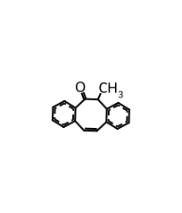 CC1C(=O)c2ccccc2C=Cc2ccccc21